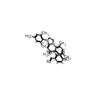 Cc1cc(C)c(N2CCN(c3c(C)cc(C)cc3C)C2=CC(C)Oc2c([CH]=[Ru])ccc(Cl)c2Cl)c(C)c1